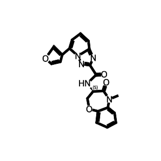 CN1C(=O)[C@@H](NC(=O)c2nc3cccc(-c4ccoc4)n3n2)COc2ccccc21